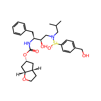 CC(C)CN(C[C@@H](O)[C@H](Cc1ccccc1)NC(=O)O[C@@H]1C[C@@H]2CCO[C@@H]2C1)[S+]([O-])c1ccc(CO)cc1